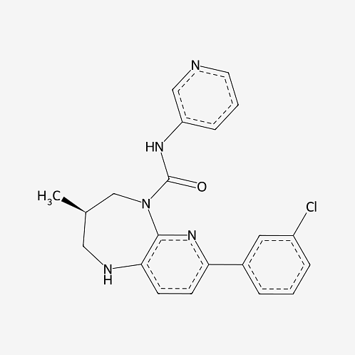 C[C@@H]1CNc2ccc(-c3cccc(Cl)c3)nc2N(C(=O)Nc2cccnc2)C1